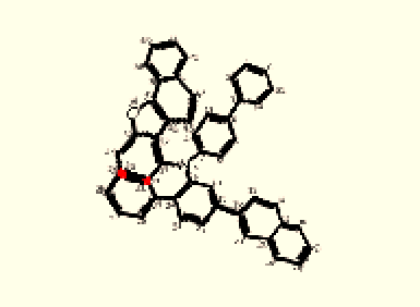 c1ccc(-c2ccc(N(c3cc(-c4ccc5ccccc5c4)ccc3-c3ccccc3)c3cccc4oc5c6ccccc6ccc5c34)cc2)cc1